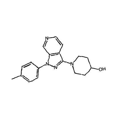 Cc1ccc(-n2nc(N3CCC(O)CC3)c3ccncc32)cc1